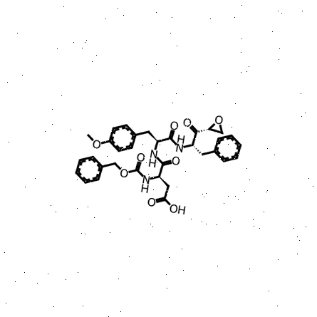 COc1ccc(C[C@H](NC(=O)[C@@H](CC(=O)O)NC(=O)OCc2ccccc2)C(=O)N[C@@H](Cc2ccccc2)C(=O)[C@H]2CO2)cc1